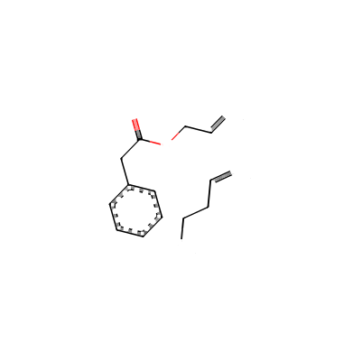 C=CCCC(=O)O.C=CCOC(=O)Cc1ccccc1